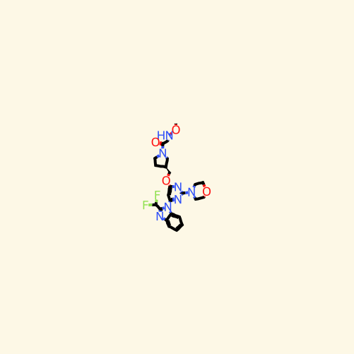 CONCC(=O)N1CC[C@H](COc2cc(-n3c(C(F)F)nc4ccccc43)nc(N3CCOCC3)n2)C1